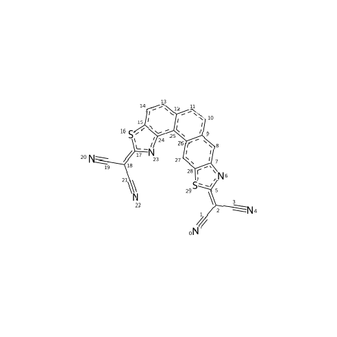 N#CC(C#N)=c1nc2cc3ccc4ccc5sc(=C(C#N)C#N)nc5c4c3cc2s1